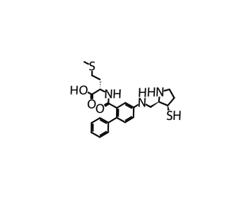 CSCC[C@H](NC(=O)c1cc(NC[C@H]2NCC[C@H]2S)ccc1-c1ccccc1)C(=O)O